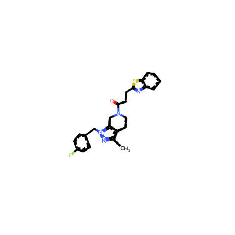 Cc1nn(Cc2ccc(F)cc2)c2c1CCN(C(=O)CCc1nc3ccccc3s1)C2